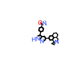 CN(C)C(=O)c1ccc(-c2c[nH]c3ncc(-c4cc5c6c(c4)C4(CC4)N(C)CC6CCC5)cc23)cc1